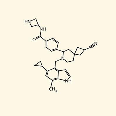 Cc1cc(C2CC2)c(CN2CCC3(CC(C#N)C3)CC2c2ccc(C(=O)NC3CNC3)cc2)c2cc[nH]c12